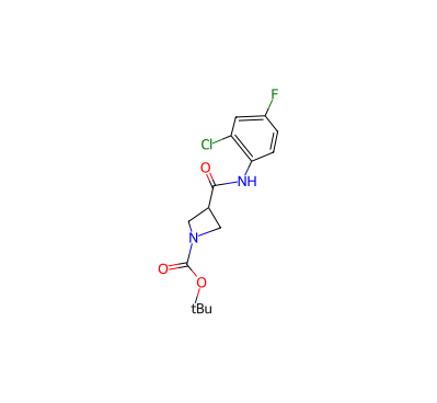 CC(C)(C)OC(=O)N1CC(C(=O)Nc2ccc(F)cc2Cl)C1